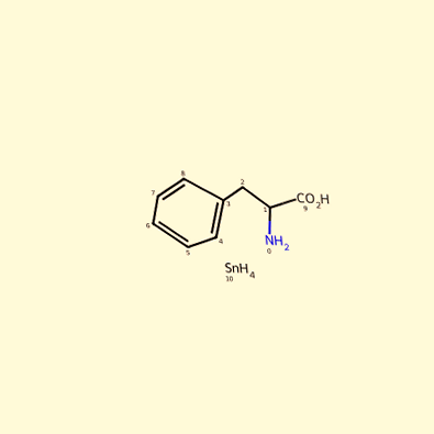 NC(Cc1ccccc1)C(=O)O.[SnH4]